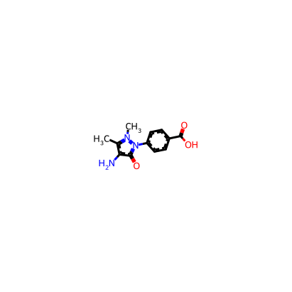 Cc1c(N)c(=O)n(-c2ccc(C(=O)O)cc2)n1C